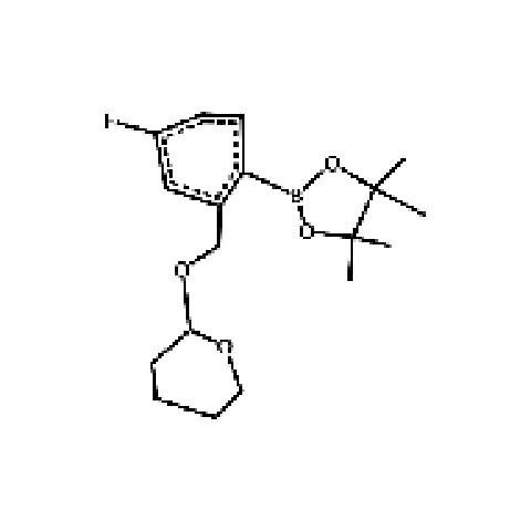 CC1(C)OB(c2ccc(F)cc2COC2CCCCO2)OC1(C)C